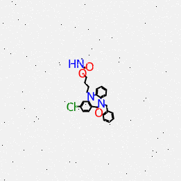 CNC(=O)OCCCCN1c2cc(Cl)ccc2C(=O)N(Cc2ccccc2)c2ccccc21